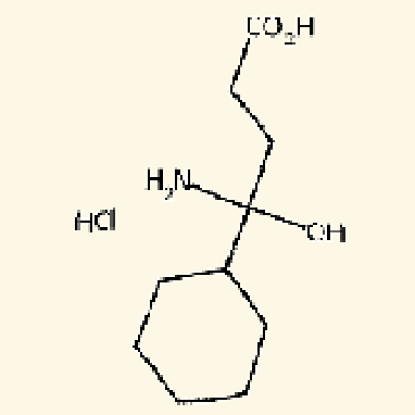 Cl.NC(O)(CCC(=O)O)C1CCCCC1